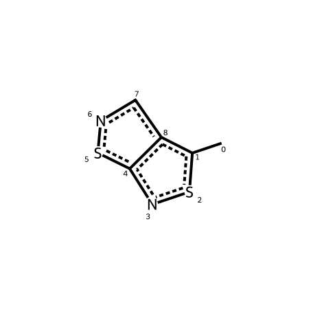 Cc1snc2sncc12